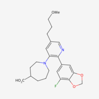 COCCCc1cnc(-c2cc(F)c3c(c2)OCO3)c(N2CCCC(C(=O)O)CC2)c1